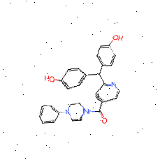 O=C(c1ccnc(C(c2ccc(O)cc2)c2ccc(O)cc2)c1)N1CCN(c2ccccc2)CC1